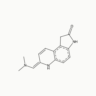 CN(C)C=C1C=Cc2c(ccc3c2CC(=O)N3)N1